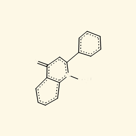 CCOC(=O)n1c(-c2ccccc2)cc(=O)c2ccccc21